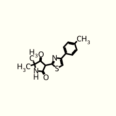 Cc1ccc(-c2csc(C3C(=O)NC(C)(C)C3=O)n2)cc1